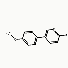 CCc1ccc(-c2ccc(OC(F)(F)F)cc2)cn1